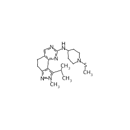 CSN1CCC(Nc2ncc3c(n2)-c2c(nn(C)c2C(C)C)CC3)CC1